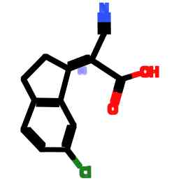 N#C/C(C(=O)O)=C1\CCc2ccc(Cl)cc21